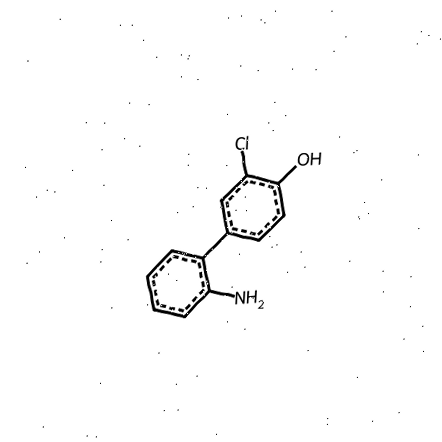 Nc1ccccc1-c1ccc(O)c(Cl)c1